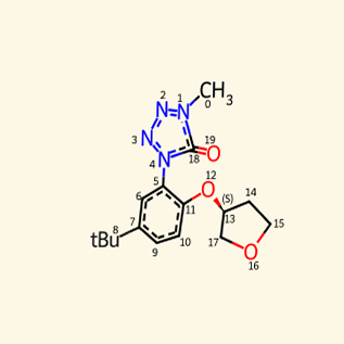 Cn1nnn(-c2cc(C(C)(C)C)ccc2O[C@H]2CCOC2)c1=O